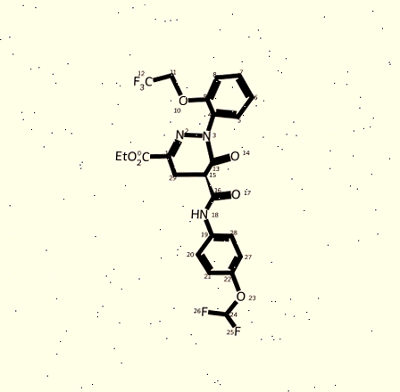 CCOC(=O)C1=NN(c2ccccc2OCC(F)(F)F)C(=O)[C@@H](C(=O)Nc2ccc(OC(F)F)cc2)C1